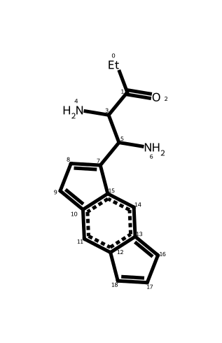 CCC(=O)C(N)C(N)C1=CC=c2cc3c(cc21)=CC=C3